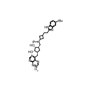 CC(C)N(C[C@H]1C[C@@H](Cc2ncnc(N)c2/N=C\N)[C@H](O)[C@@H]1O)C1CC(CCc2nc3cc(C(C)(C)C)ccc3[nH]2)C1